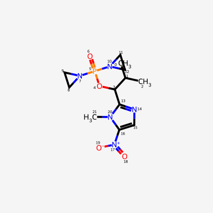 CC(C)C(OP(=O)(N1CC1)N1CC1)c1ncc([N+](=O)[O-])n1C